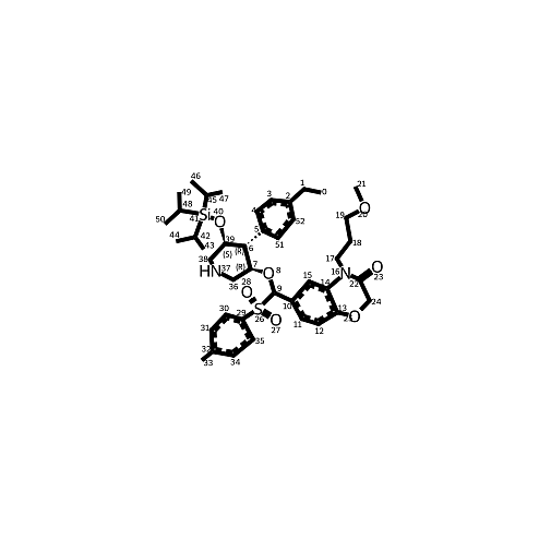 CCc1ccc([C@@H]2[C@@H](OC(c3ccc4c(c3)N(CCCOC)C(=O)CO4)S(=O)(=O)c3ccc(C)cc3)CNC[C@H]2O[Si](C(C)C)(C(C)C)C(C)C)cc1